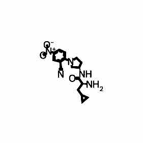 N#Cc1cc([N+](=O)[O-])ccc1N1CC[C@H](NC(=O)[C@@H](N)CC2CC2)C1